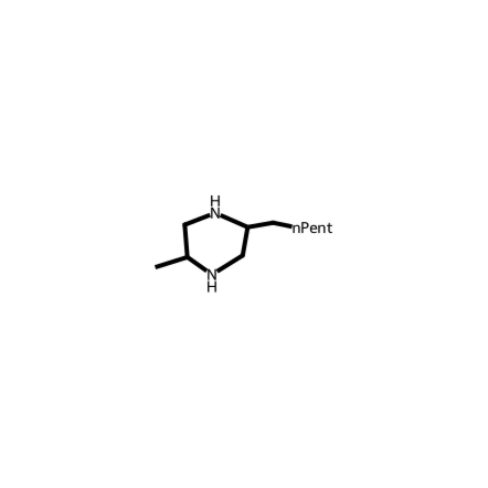 [CH2]CCCCCC1CNC(C)CN1